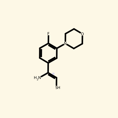 N/C(=C\S)c1ccc(F)c(N2CCOCC2)c1